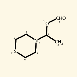 CC(OC=O)N1CCSCC1